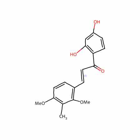 COc1ccc(/C=C/C(=O)c2ccc(O)cc2O)c(OC)c1C